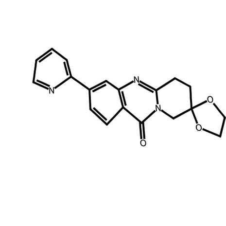 O=c1c2ccc(-c3ccccn3)cc2nc2n1CC1(CC2)OCCO1